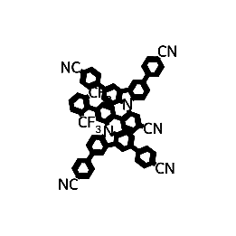 N#Cc1ccc(-c2ccc3c(c2)c2cc(-c4ccc(C#N)cc4)ccc2n3-c2cc(C#N)ccc2-c2ccc(-c3c(C(F)(F)F)cccc3C(F)(F)F)cc2-n2c3ccc(-c4ccc(C#N)cc4)cc3c3cc(-c4ccc(C#N)cc4)ccc32)cc1